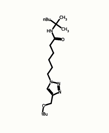 CCCCC(C)(C)NC(=O)CCCCCn1cc(COC(C)(C)C)nn1